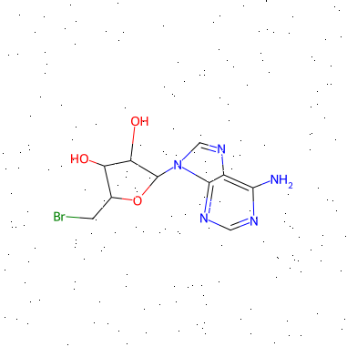 Nc1ncnc2c1ncn2C1OC(CBr)C(O)C1O